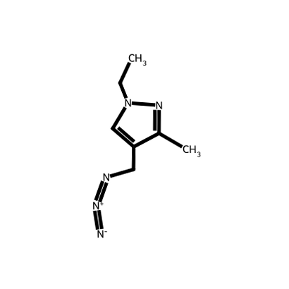 CCn1cc(CN=[N+]=[N-])c(C)n1